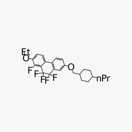 CCCC1CCC(COc2ccc3c(c2)C(F)(F)C(F)(F)c2c-3ccc(OCC)c2F)CC1